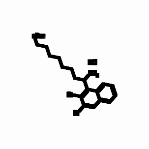 CCCCCCCCCCCCCCCCCC(N)c1c(CC)c(CC)cc2ccccc12.Cl